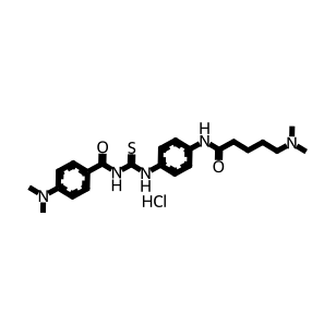 CN(C)CCCCC(=O)Nc1ccc(NC(=S)NC(=O)c2ccc(N(C)C)cc2)cc1.Cl